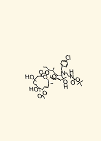 CC[C@H](OC)[C@@H](C)C1O[C@@H]1C(N(CCNC(=O)OC(C)(C)C)Cc1ccc(Cl)cc1)C(C)(O)/C=C/C=C(\C)[C@H]1OC(=O)C[C@H](O)CC[C@@](C)(O)[C@@H](OC(C)=O)/C=C/[C@@H]1C